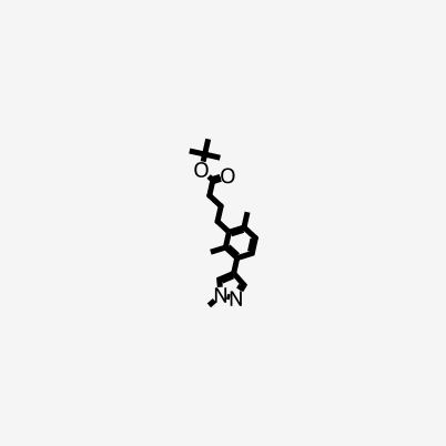 Cc1ccc(-c2cnn(C)c2)c(C)c1CCCC(=O)OC(C)(C)C